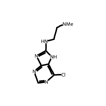 CNCCNc1nc2ncnc(Cl)c2[nH]1